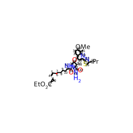 CCOC(=O)[C@H]1C[C@H]1/C=C\CCCCC[C@H](N)C(=O)N1C[C@H](Oc2cc(-c3nc(C(C)C)cs3)nc3c(C)c(OC)ccc23)[C@@H](C)[C@H]1C(N)=O